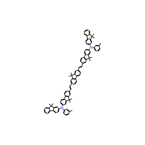 Cc1cccc(N(c2ccc3c(c2)C(C)(C)c2ccccc2-3)c2ccc3c(c2)C(C)(C)c2cc(/C=C/c4ccc5c(c4)C(C)(C)c4cc(/C=C/c6ccc7c(c6)C(C)(C)c6cc(N(c8cccc(C)c8)c8ccc9c(c8)C(C)(C)c8ccccc8-9)ccc6-7)ccc4-5)ccc2-3)c1